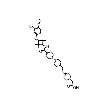 CC1(C)C(NC(=O)c2ccc(N3CCC(CCN4CCN(CC(=O)O)CC4)CC3)nc2)C(C)(C)C1Oc1ccc(C#N)c(Cl)c1